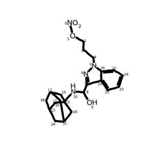 O=[N+]([O-])OCCCn1nc(C(O)NC23CC4CC(CC(C4)C2)C3)c2ccccc21